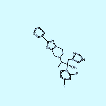 C[C@@H](N1CCn2nc(-c3cccnc3)nc2C1)[C@](O)(Cn1cncn1)c1ccc(F)cc1F